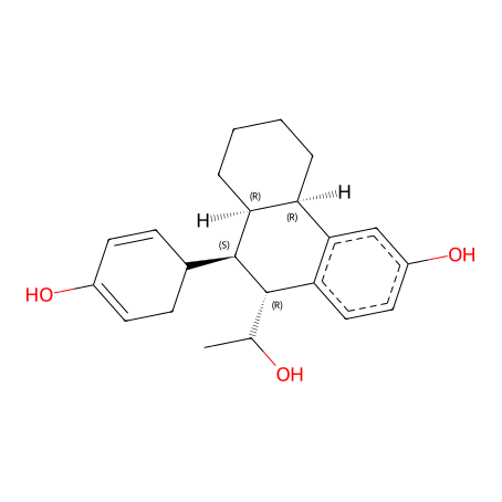 CC(O)[C@H]1c2ccc(O)cc2[C@@H]2CCCC[C@@H]2[C@@H]1C1C=CC(O)=CC1